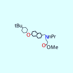 CCCN(CCC(=O)OC)Cc1ccc2cc(O[C@H]3CC[C@H](C(C)(C)C)CC3)ccc2c1